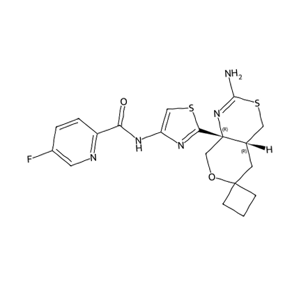 NC1=N[C@@]2(c3nc(NC(=O)c4ccc(F)cn4)cs3)COC3(CCC3)C[C@H]2CS1